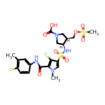 Cc1cc(NC(=O)c2c(F)c(S(=O)(=O)N[C@H]3CN(C(=O)O)C[C@H]3COS(C)(=O)=O)cn2C)ccc1F